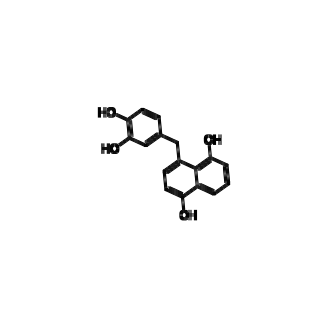 Oc1ccc(Cc2ccc(O)c3cccc(O)c23)cc1O